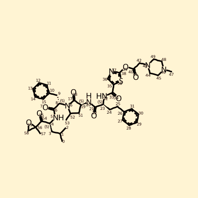 CC(C)C[C@H](NC(=O)[C@H](Cc1ccccc1)N1C(=O)[C@@H](NC(=O)[C@H](CCc2ccccc2)NC(=O)c2cnc(OC(=O)CN3CCN(C)CC3)s2)CC1C)C(=O)C1(C)CO1